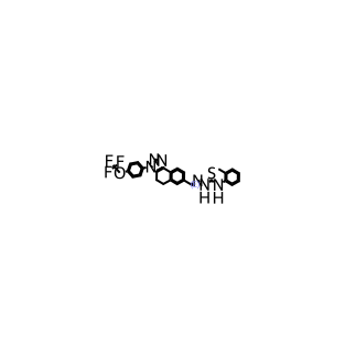 Cc1ccccc1NC(=S)N/N=C/c1ccc2c(c1)CCc1c-2nnn1-c1ccc(OC(F)(F)F)cc1